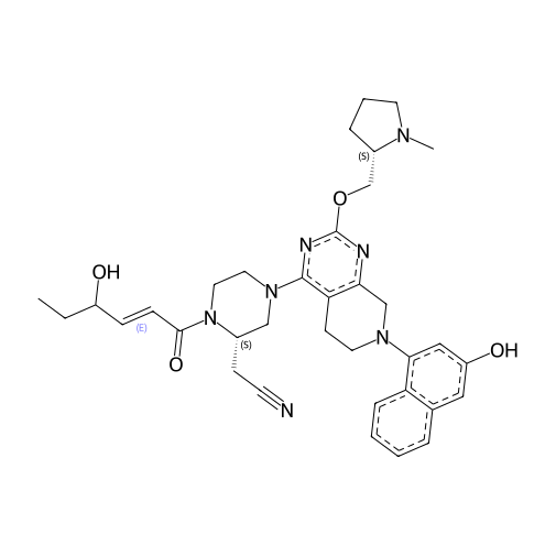 CCC(O)/C=C/C(=O)N1CCN(c2nc(OC[C@@H]3CCCN3C)nc3c2CCN(c2cc(O)cc4ccccc24)C3)C[C@@H]1CC#N